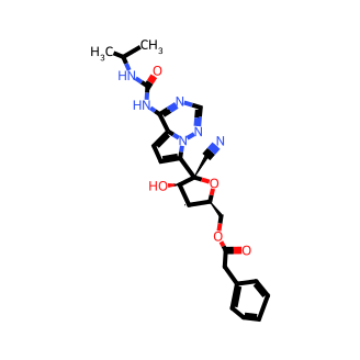 CC(C)NC(=O)Nc1ncnn2c([C@]3(C#N)O[C@@H](COC(=O)Cc4ccccc4)[CH][C@H]3O)ccc12